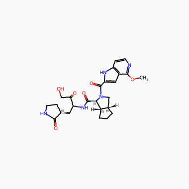 COc1nccc2[nH]c(C(=O)N3C[C@@H]4CCC[C@@H]4[C@H]3C(=O)NC(C[C@@H]3CCNC3=O)C(=O)CO)cc12